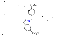 COc1ccc(Cn2ccc3ccc(S(=O)(=O)O)cc32)cc1